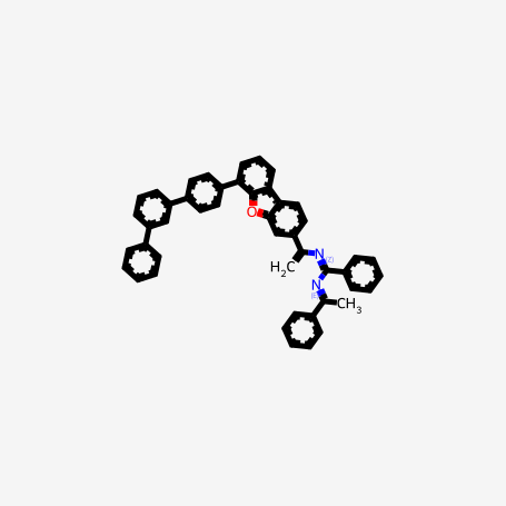 C=C(/N=C(\N=C(/C)c1ccccc1)c1ccccc1)c1ccc2c(c1)oc1c(-c3ccc(-c4cccc(-c5ccccc5)c4)cc3)cccc12